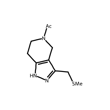 CSCc1n[nH]c2c1CN(C(C)=O)CC2